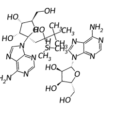 C[SiH](C)C(O)(C[C@@]1(n2cnc3c(N)ncnc32)O[C@H](CO)[C@@H](O)[C@H]1O)C(C)(C)C.Nc1ncnc2c1ncn2[C@@H]1O[C@H](CO)[C@@H](O)[C@H]1O